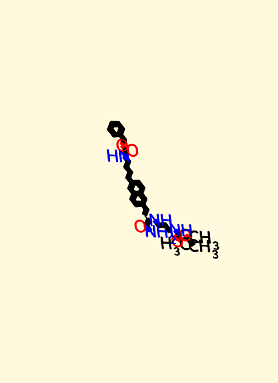 CC(C)(C)OC(=O)NCCCN[C@@H](CCc1ccc2cc(CCCCNC(=O)OCc3ccccc3)ccc2c1)C(N)=O